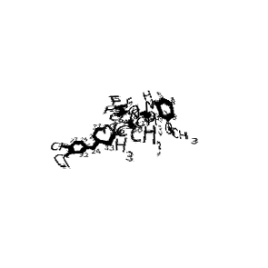 COc1cccc(NC(=O)N(OC(=O)C(F)(F)F)[C@@H](CN2CCC(Cc3ccc(Cl)c(Cl)c3)CC2)C(C)(C)C)c1